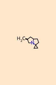 C=C1CC2CCC3(CC3)N2C1